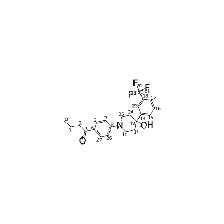 CCCC(=O)c1ccc(N2CCC(O)(c3cccc(C(F)(F)F)c3)CC2)cc1